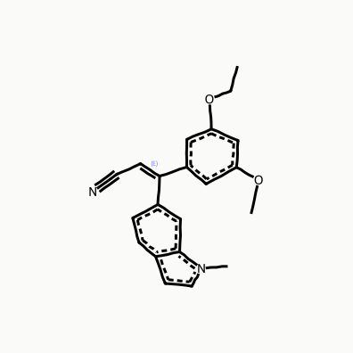 CCOc1cc(OC)cc(/C(=C/C#N)c2ccc3ccn(C)c3c2)c1